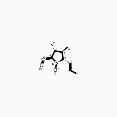 C/C=C/[C@H]1[C@H](C)[C@@H](C)C(=S=O)[S+]1[O-]